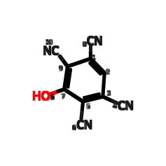 N#Cc1cc(C#N)c(C#N)c(O)c1C#N